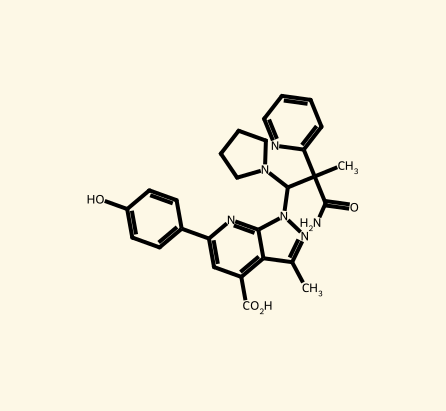 Cc1nn(C(N2CCCC2)C(C)(C(N)=O)c2ccccn2)c2nc(-c3ccc(O)cc3)cc(C(=O)O)c12